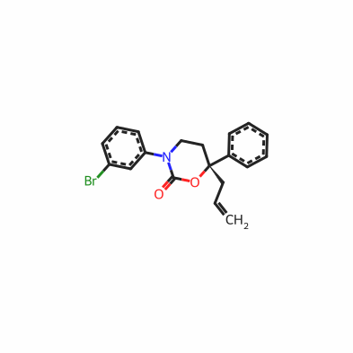 C=CC[C@]1(c2ccccc2)CCN(c2cccc(Br)c2)C(=O)O1